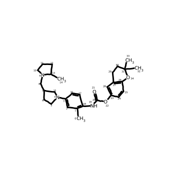 Cc1cc(N2CCC(CN3CCCC3C)C2)ccc1NC(=O)Oc1ccc2c(c1)CCC(C)(C)O2